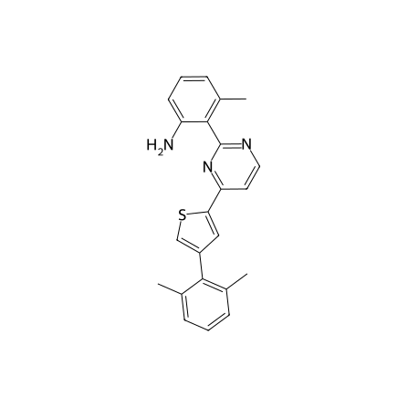 Cc1cccc(C)c1-c1csc(-c2ccnc(-c3c(C)cccc3N)n2)c1